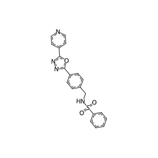 O=S(=O)(NCc1ccc(-c2nnc(-c3ccncc3)o2)cc1)c1ccccc1